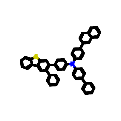 c1ccc(-c2ccc(N(c3ccc(-c4ccc5ccccc5c4)cc3)c3ccc(-c4cc5sc6ccccc6c5cc4-c4ccccc4)cc3)cc2)cc1